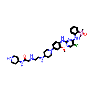 COc1cc(N2CCC(NCCNCC(=O)NC3CCNCC3)CC2)ccc1Nc1ncc(Cl)c(Nc2ccccc2P(C)(C)=O)n1